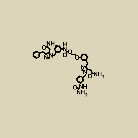 NC(=O)Cc1c(Cc2cccc(OCCOC(=O)Nc3cccc(Cn4cnc(Cc5ccccc5)c4CC(N)=O)c3)c2)ncn1Cc1cccc(NC(N)=O)c1